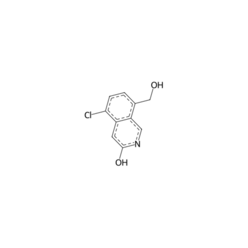 OCc1ccc(Cl)c2cc(O)ncc12